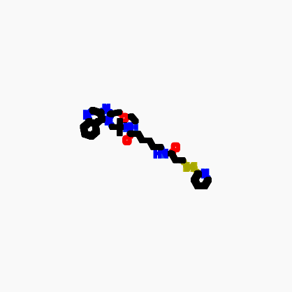 CCOCc1nc2cnc3ccccc3c2n1CC(C)(C)NC(=O)CCCCCNC(=O)CCSSc1ccccn1